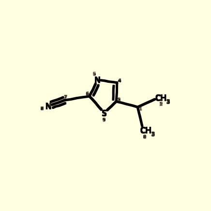 CC(C)c1cnc(C#N)s1